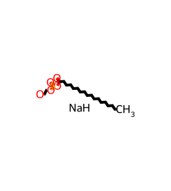 CCCCCCCCCCCCCCCCCC(=O)OS(=O)OCC=O.[NaH]